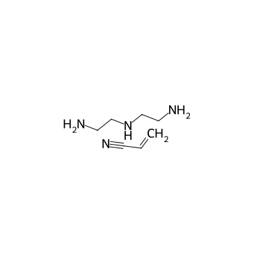 C=CC#N.NCCNCCN